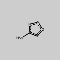 [SnH][c]1conn1